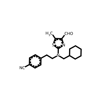 Cc1sc(N(CCc2ccc(C#N)cc2)CC2CCCCC2)nc1C=O